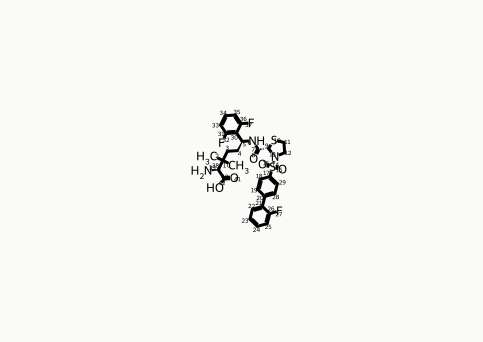 CC(C)(CC[C@H](NC(=O)[C@@H]1SCCN1S(=O)(=O)c1ccc(-c2ccccc2F)cc1)c1c(F)cccc1F)[C@H](N)C(=O)O